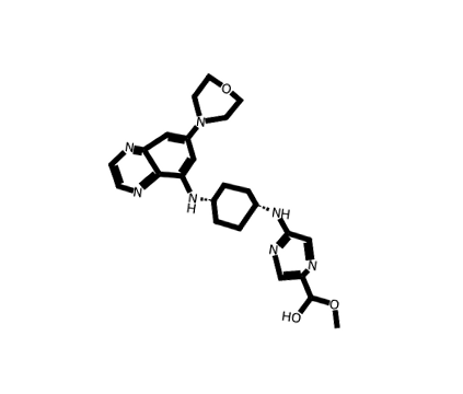 COC(O)c1cnc(N[C@H]2CC[C@@H](Nc3cc(N4CCOCC4)cc4nccnc34)CC2)cn1